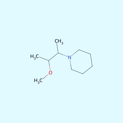 COC(C)C(C)N1CCCCC1